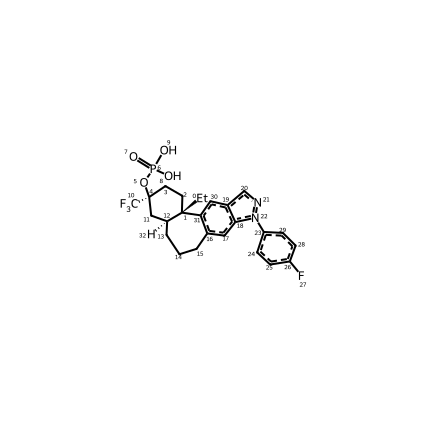 CC[C@]12CC[C@@](OP(=O)(O)O)(C(F)(F)F)C[C@@H]1CCCc1cc3c(cnn3-c3ccc(F)cc3)cc12